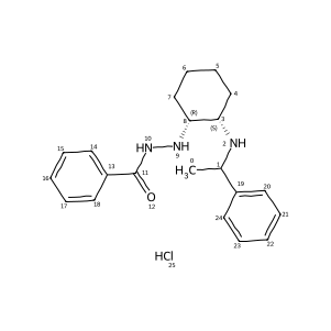 CC(N[C@H]1CCCC[C@H]1NNC(=O)c1ccccc1)c1ccccc1.Cl